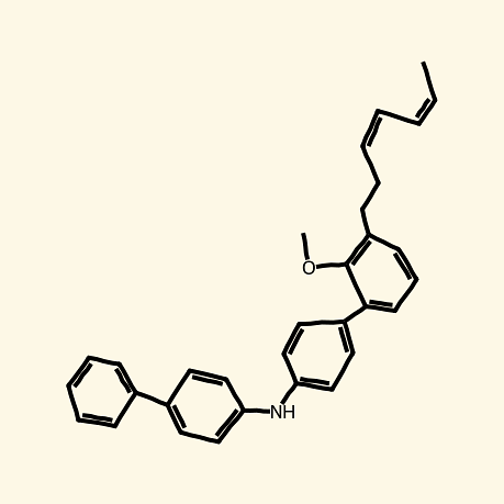 C/C=C\C=C/CCc1cccc(-c2ccc(Nc3ccc(-c4ccccc4)cc3)cc2)c1OC